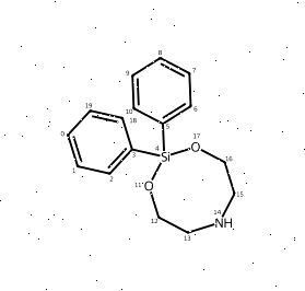 c1ccc([Si]2(c3ccccc3)OCCNCCO2)cc1